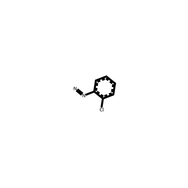 [N]=Nc1ccccc1Cl